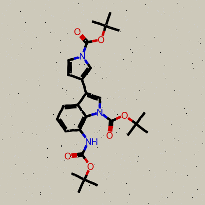 CC(C)(C)OC(=O)Nc1cccc2c(-c3ccn(C(=O)OC(C)(C)C)c3)cn(C(=O)OC(C)(C)C)c12